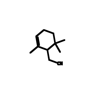 CC1=CCCC(C)(C)C1CC#N